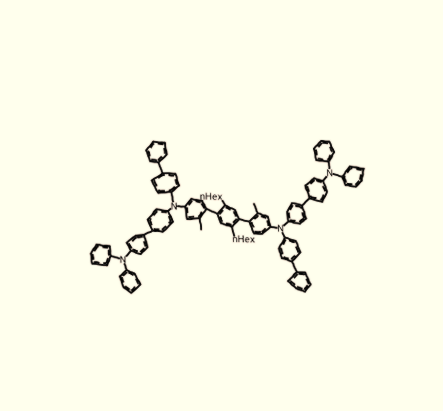 CCCCCCc1cc(-c2ccc(N(c3ccc(-c4ccccc4)cc3)c3ccc(-c4ccc(N(c5ccccc5)c5ccccc5)cc4)cc3)cc2C)c(CCCCCC)cc1-c1ccc(N(c2ccc(-c3ccccc3)cc2)c2ccc(-c3ccc(N(c4ccccc4)c4ccccc4)cc3)cc2)cc1C